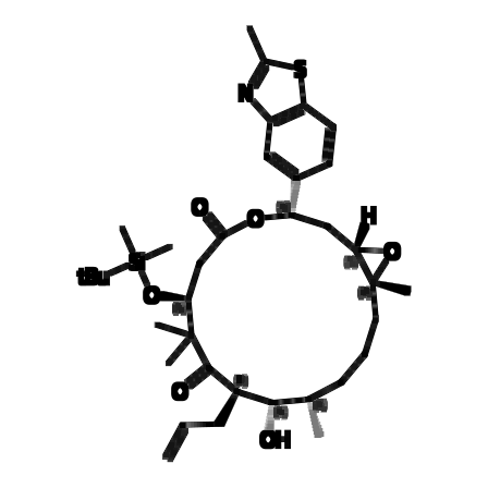 C=CC[C@H]1C(=O)C(C)(C)[C@@H](O[Si](C)(C)C(C)(C)C)CC(=O)O[C@H](c2ccc3sc(C)nc3c2)C[C@@H]2O[C@]2(C)CCC[C@H](C)[C@@H]1O